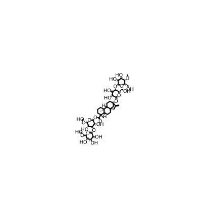 C=C1C[C@@]23CC[C@H]4[C@@](C)(CCC[C@@]4(C)C(=O)O[C@@H]4O[C@H](OO)[C@@H](O)[C@H](O[C@H]5O[C@H](OO)[C@@H](O)[C@H](O)[C@H]5O)[C@H]4O)[C@@H]2CC[C@]1(O[C@@H]1O[C@H](CO)[C@@H](O[C@H]2O[C@H](CO)[C@@H](OC)[C@H](O)[C@H]2O)[C@H](O)[C@H]1O)C3